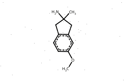 COc1ccc2c(c1)CC(C)(N)C2